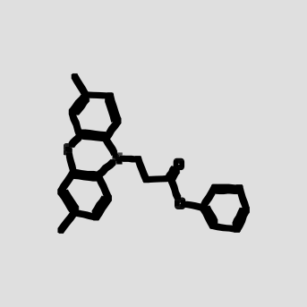 Cc1ccc2c(c1)Sc1cc(C)ccc1N2CCC(=O)Oc1ccccc1